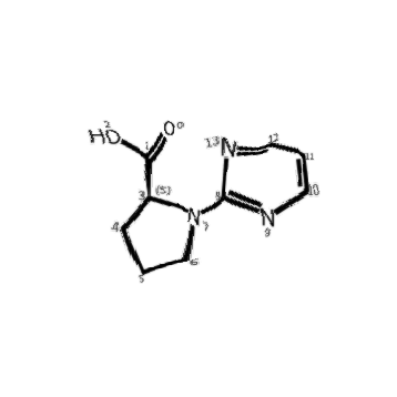 O=C(O)[C@@H]1CCCN1c1ncccn1